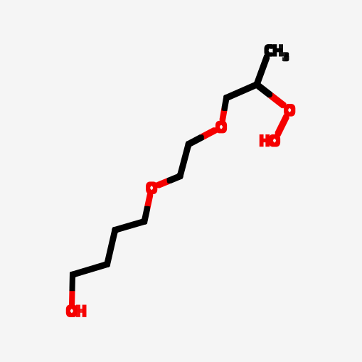 CC(COCCOCCCCO)OO